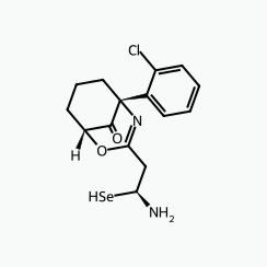 N[C@@H]([SeH])CC1=N[C@@]2(c3ccccc3Cl)CCC[C@@H](O1)C2=O